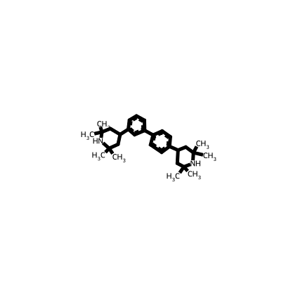 CC1(C)CC(c2ccc(-c3cccc(C4CC(C)(C)NC(C)(C)C4)c3)cc2)CC(C)(C)N1